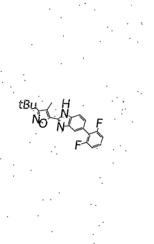 Cc1c(C(C)(C)C)noc1-c1nc2cc(-c3c(F)cccc3F)ccc2[nH]1